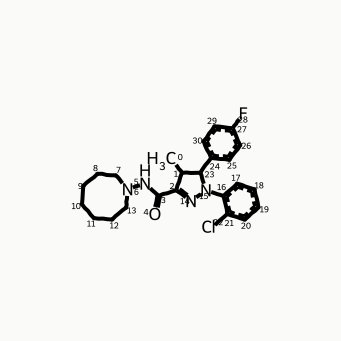 CC1C(C(=O)NN2CCCCCCC2)=NN(c2ccccc2Cl)C1c1ccc(F)cc1